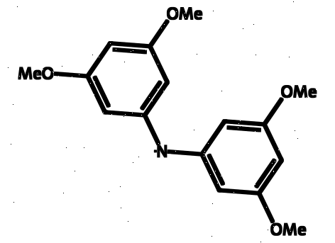 COc1cc([N]c2cc(OC)cc(OC)c2)cc(OC)c1